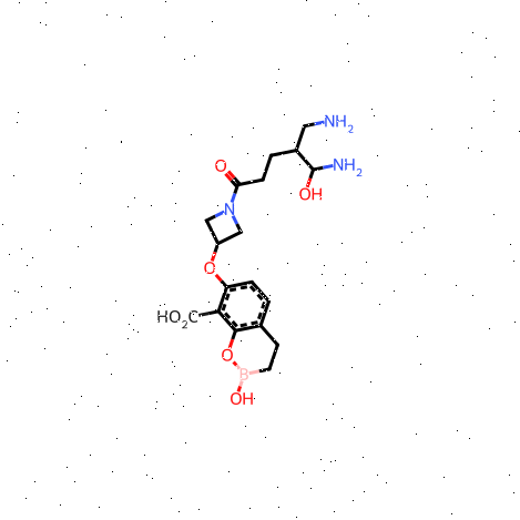 NCC(CCC(=O)N1CC(Oc2ccc3c(c2C(=O)O)OB(O)CC3)C1)C(N)O